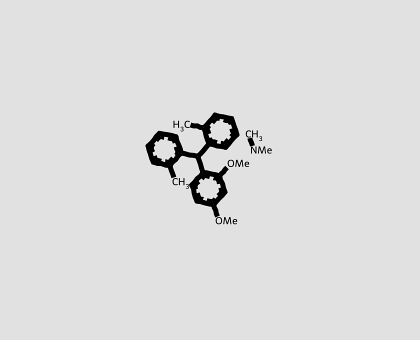 CNC.COc1ccc(C(c2ccccc2C)c2ccccc2C)c(OC)c1